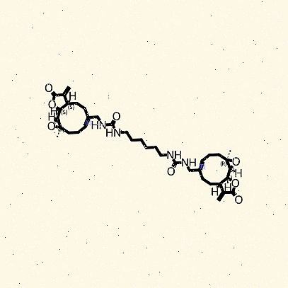 C=C1C(=O)O[C@H]2[C@H]1CC/C(CNC(=O)NCCCCCCNC(=O)NC/C1=C/CC[C@@]3(C)O[C@H]3[C@H]3OC(=O)C(=C)[C@@H]3CC1)=C\CC[C@@]1(C)O[C@@H]21